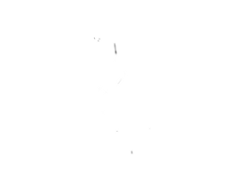 C=CC#N.C=Cc1ccccc1.CCCCC=Cc1ccccc1